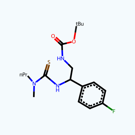 CCCN(C)C(=S)NC(CNC(=O)OC(C)(C)C)c1ccc(F)cc1